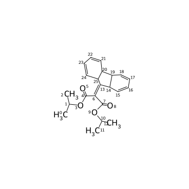 CC(C)OC(=O)C(C(=O)OC(C)C)=C1C2C=CC=CC2C2C=CC=CC12